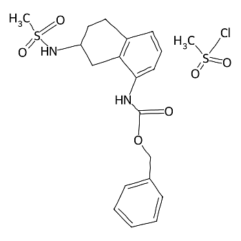 CS(=O)(=O)Cl.CS(=O)(=O)NC1CCc2cccc(NC(=O)OCc3ccccc3)c2C1